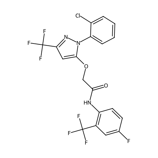 O=C(COc1cc(C(F)(F)F)nn1-c1ccccc1Cl)Nc1ccc(F)cc1C(F)(F)F